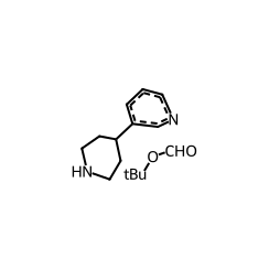 CC(C)(C)OC=O.c1cncc(C2CCNCC2)c1